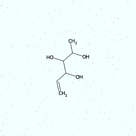 C=CC(O)C(O)C(C)O